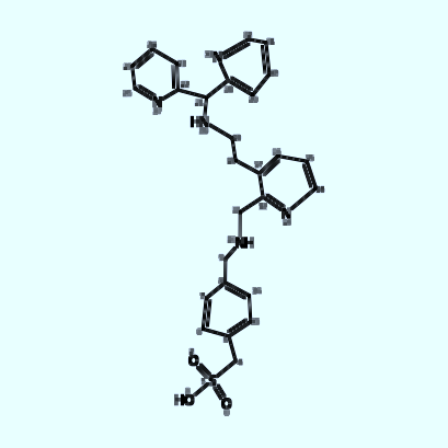 O=S(=O)(O)Cc1ccc(CNCc2ncccc2CCNC(c2ccccn2)c2ccccn2)cc1